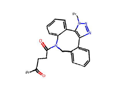 CC(C)C(=O)CCC(=O)N1Cc2ccccc2-c2nnn(C(C)C)c2-c2ccccc21